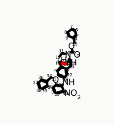 O=C(OCc1ccccc1)N1CC[C@@]23CCCC[C@@H]2[C@@H]1Cc1cc(Nc2ccccc2[N+](=O)[O-])c(OCc2ccccc2)cc13